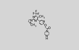 Cc1c(-c2ccc(OCC(=O)N3CCNCC3)nc2)nc(N2CC[C@@H]2C)nc1C(F)(F)F